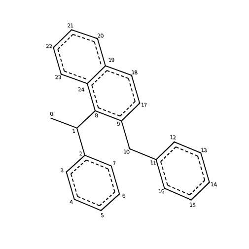 CC(c1ccccc1)c1c(Cc2ccccc2)ccc2ccccc12